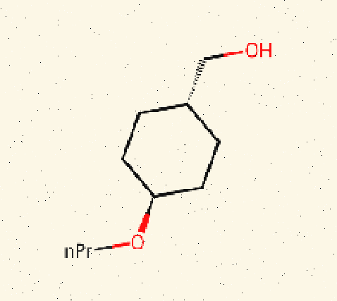 CCCO[C@H]1CC[C@H](CO)CC1